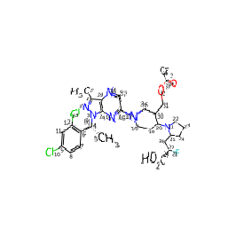 Cc1nn([C@H](C)c2ccc(Cl)cc2Cl)c2nc(N3CCC(N4CCCC4CC(F)C(=O)O)C(COC(=O)C(F)(F)F)C3)cnc12